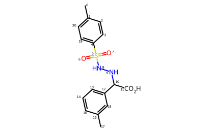 Cc1ccc(S(=O)(=O)NNC(C(=O)O)c2cccc(C)c2)cc1